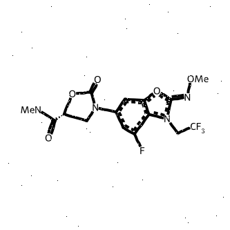 CNC(=O)[C@H]1CN(c2cc(F)c3c(c2)o/c(=N\OC)n3CC(F)(F)F)C(=O)O1